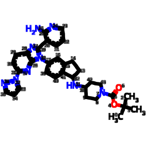 CC(C)(C)OC(=O)N1CCC(N[C@H]2CCc3cc(-n4c(-c5cccnc5N)nc5ccc(-n6cccn6)nc54)ccc32)CC1